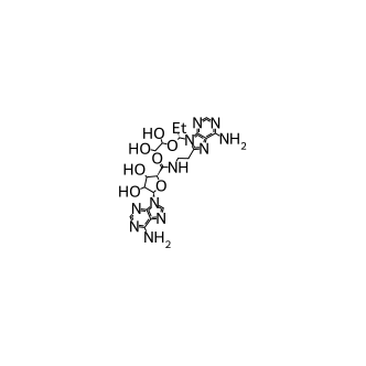 CC[C@@H](OC(O)CO)n1c(CCNC(=O)[C@H]2O[C@@H](n3cnc4c(N)ncnc43)C(O)C2O)nc2c(N)ncnc21